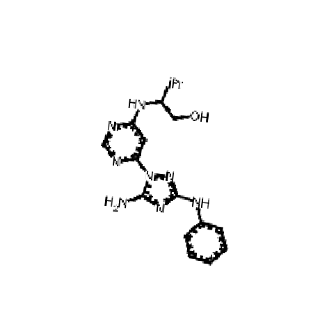 CC(C)C(CO)Nc1cc(-n2nc(Nc3ccccc3)nc2N)ncn1